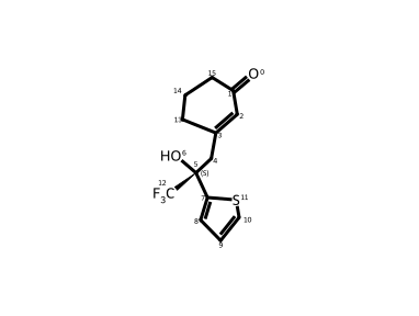 O=C1C=C(C[C@@](O)(c2cccs2)C(F)(F)F)CCC1